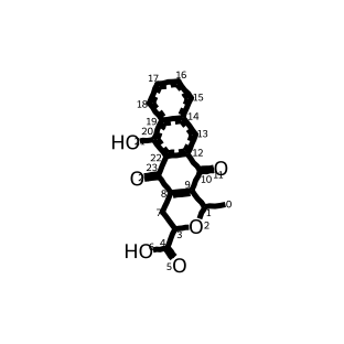 CC1OC(C(=O)O)CC2=C1C(=O)c1cc3ccccc3c(O)c1C2=O